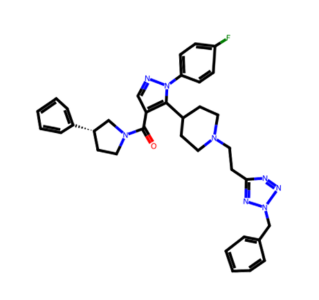 O=C(c1cnn(-c2ccc(F)cc2)c1C1CCN(CCc2nnn(Cc3ccccc3)n2)CC1)N1CC[C@H](c2ccccc2)C1